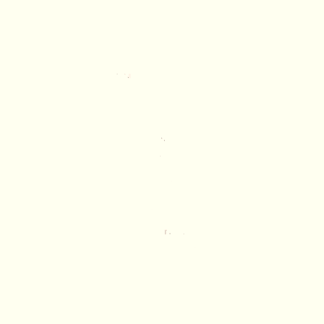 CC(=O)NCCCCNC(=O)COc1cccc2c1C(=O)NC2=O